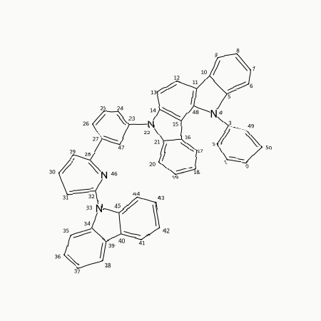 c1ccc(-n2c3ccccc3c3ccc4c(c5ccccc5n4-c4cccc(-c5cccc(-n6c7ccccc7c7ccccc76)n5)c4)c32)cc1